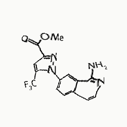 COC(=O)c1cc(C(F)(F)F)n(-c2ccc3ccnc(N)c3c2)n1